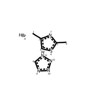 Br.Cc1csc(C)n1.c1nnn[nH]1